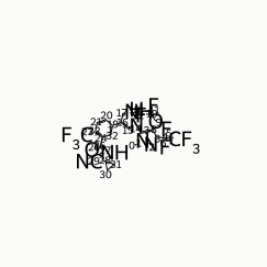 Cn1nc(C(F)(F)C(F)(F)F)c(OC(F)F)c1N/C=C(\C=N)c1ccc(C(F)(F)F)c(C(=O)NC2(C#N)CC2)c1